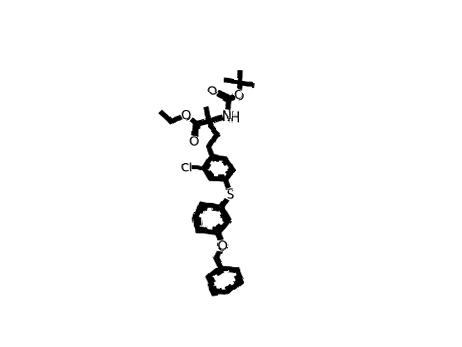 CCOC(=O)C(C)(CCc1ccc(Sc2cccc(OCc3ccccc3)c2)cc1Cl)NC(=O)OC(C)(C)C